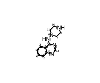 c1ccc2c(NN3CCNCC3)ncnc2c1